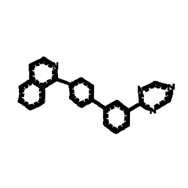 c1cc(-c2ccc(-c3nccc4ccccc34)cc2)cc(-c2ncncn2)c1